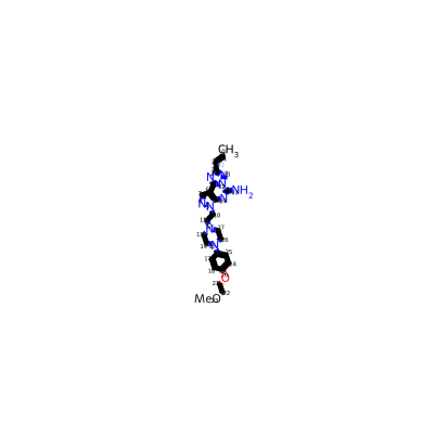 C/C=C/c1nc2c3cnn(CCN4CCN(c5ccc(OCCOC)cc5)CC4)c3nc(N)n2n1